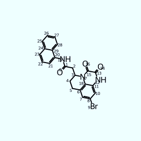 O=C(CC1CCc2cc(Br)cc3[nH]c(=O)c(=O)n1c23)Nc1cccc2ccccc12